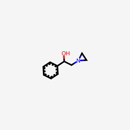 OC(CN1CC1)c1ccccc1